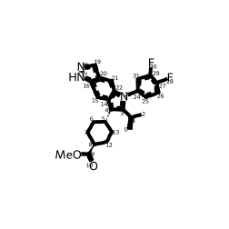 C=C(C)c1c([C@H]2CC[C@H](C(=O)OC)CC2)c2cc3[nH]ncc3cc2n1-c1ccc(F)c(F)c1